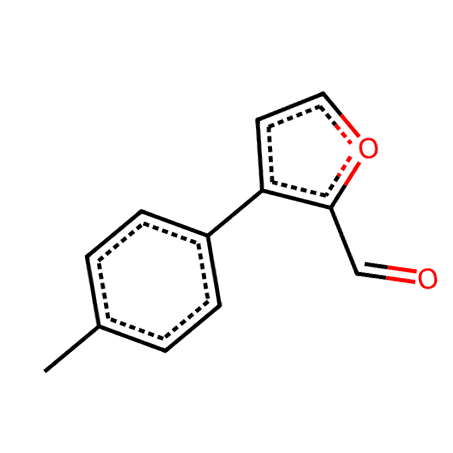 Cc1ccc(-c2ccoc2C=O)cc1